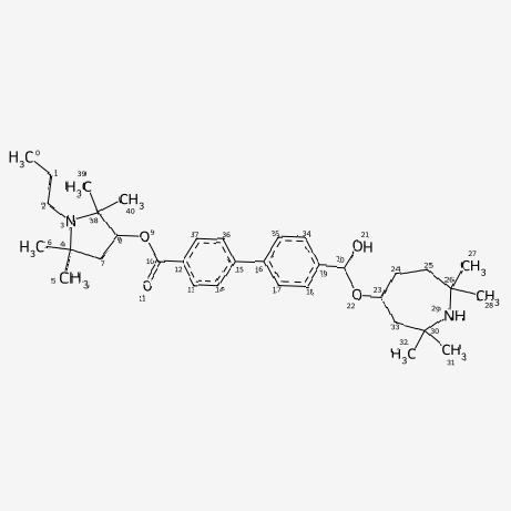 CCCN1C(C)(C)CC(OC(=O)c2ccc(-c3ccc(C(O)OC4CCC(C)(C)NC(C)(C)C4)cc3)cc2)C1(C)C